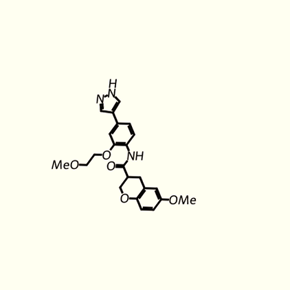 COCCOc1cc(-c2cn[nH]c2)ccc1NC(=O)C1COc2ccc(OC)cc2C1